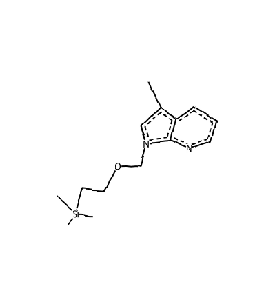 Cc1cn(COCC[Si](C)(C)C)c2ncccc12